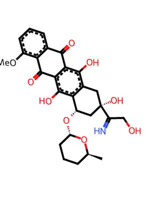 COc1cccc2c1C(=O)c1c(O)c3c(c(O)c1C2=O)C[C@@](O)(C(=N)CO)C[C@@H]3O[C@H]1CCC[C@H](C)O1